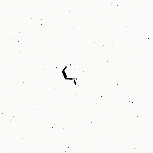 CCN/C=C\S